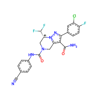 N#Cc1ccc(NC(=O)N2Cc3c(C(N)=O)c(-c4ccc(F)c(Cl)c4)nn3[C@@H](C(F)F)C2)cc1